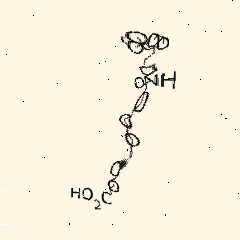 CC1(CC2(CCc3ccc(NC(=O)CCOCCOCCOCCOCCOCCC(=O)O)cc3)OCCO2)OCCO1